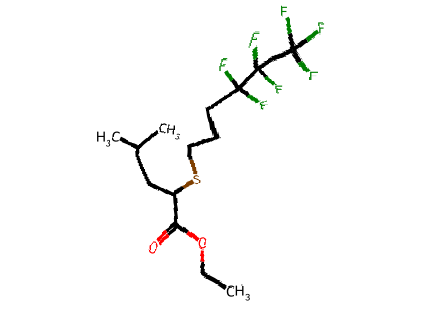 CCOC(=O)C(CC(C)C)SCCCC(F)(F)C(F)(F)C(F)(F)F